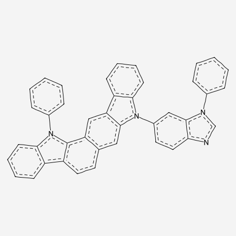 c1ccc(-n2cnc3ccc(-n4c5ccccc5c5cc6c(ccc7c8ccccc8n(-c8ccccc8)c67)cc54)cc32)cc1